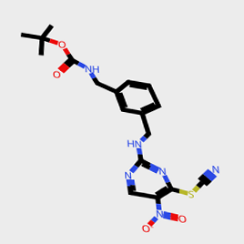 CC(C)(C)OC(=O)NCc1cccc(CNc2ncc([N+](=O)[O-])c(SC#N)n2)c1